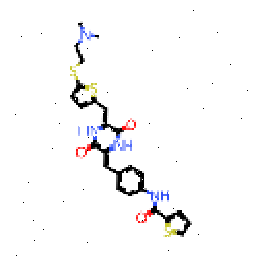 CN(C)CCSc1ccc(/C=c2\[nH]c(=O)/c(=C/c3ccc(NC(=O)c4cccs4)cc3)[nH]c2=O)s1